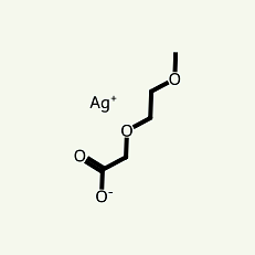 COCCOCC(=O)[O-].[Ag+]